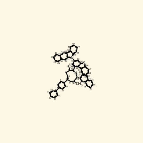 CC1C/C=C(\c2ccc(-c3ccccc3)cc2)CC(C)[C@H](c2ccc3ccccc3c2)/N=C\1c1cc(-n2c3ccccc3c3cc4ccccc4cc32)cc2sc3ccccc3c12